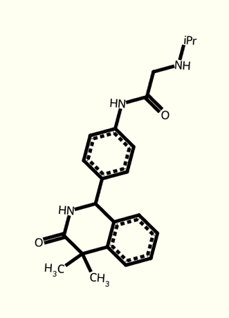 CC(C)NCC(=O)Nc1ccc(C2NC(=O)C(C)(C)c3ccccc32)cc1